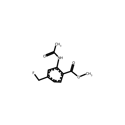 COC(=O)c1ccc(CF)cc1NC(C)=O